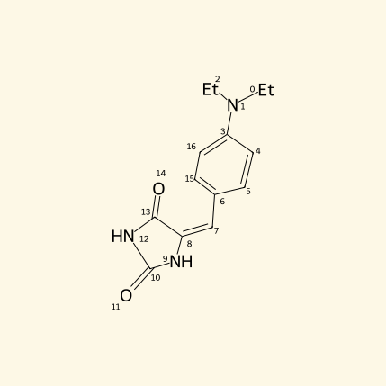 CCN(CC)c1ccc(/C=C2/NC(=O)NC2=O)cc1